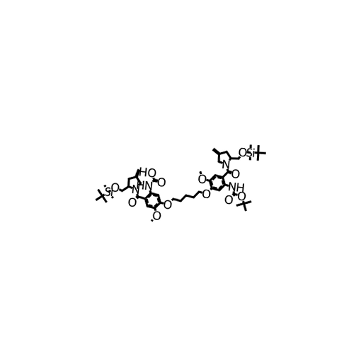 C=C1CC(CO[Si](C)(C)C(C)(C)C)N(C(=O)c2cc(OC)c(OCCCCCOc3cc(NC(=O)OC(C)(C)C)c(C(=O)N4CC(=C)CC4CO[Si](C)(C)C(C)(C)C)cc3OC)cc2NC(=O)O)C1